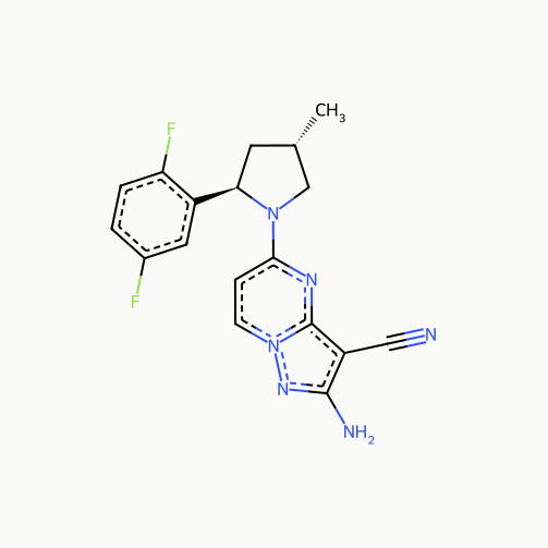 C[C@H]1C[C@H](c2cc(F)ccc2F)N(c2ccn3nc(N)c(C#N)c3n2)C1